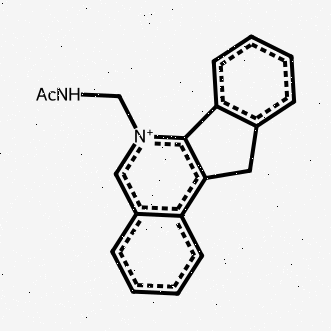 CC(=O)NC[n+]1cc2ccccc2c2c1-c1ccccc1C2